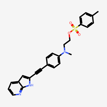 Cc1ccc(S(=O)(=O)OCCN(C)c2ccc(C#Cc3cc4cccnc4[nH]3)cc2)cc1